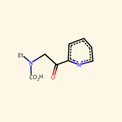 CCN(CC(=O)c1ccccn1)C(=O)O